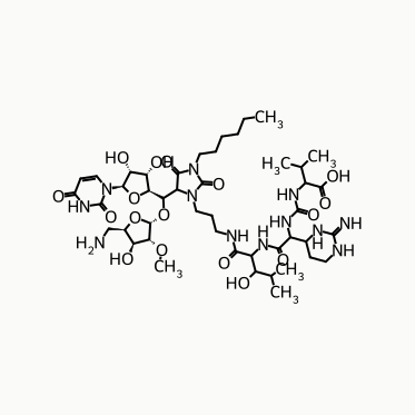 CCCCCCN1C(=O)C(C(O[C@H]2O[C@H](CN)[C@H](O)[C@H]2OC)[C@H]2O[C@@H](n3ccc(=O)[nH]c3=O)[C@H](O)[C@@H]2O)N(CCCNC(=O)C(NC(=O)C(NC(=O)NC(C(=O)O)C(C)C)C2CCNC(=N)N2)C(O)C(C)C)C1=O